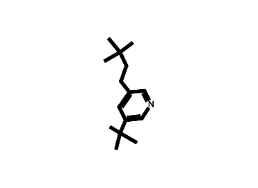 CC(C)(C)CCc1cncc(C(C)(C)C)c1